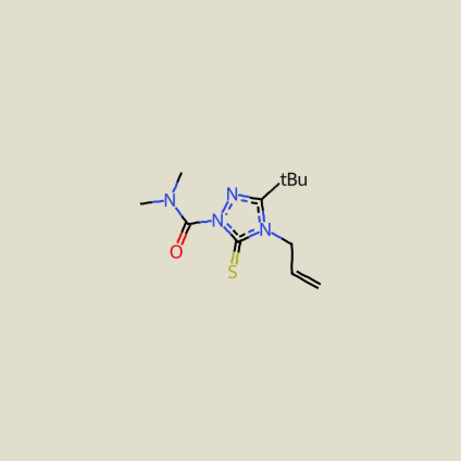 C=CCn1c(C(C)(C)C)nn(C(=O)N(C)C)c1=S